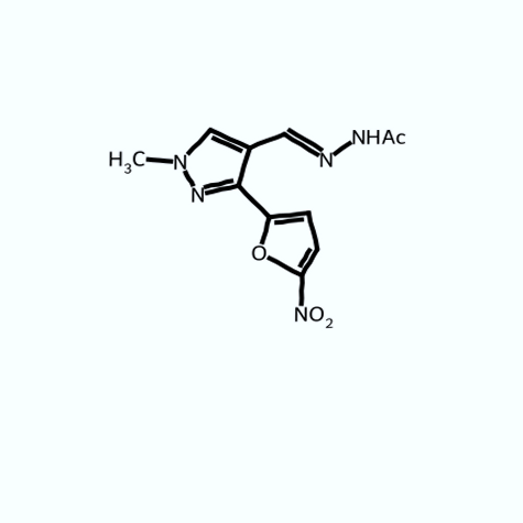 CC(=O)N/N=C/c1cn(C)nc1-c1ccc([N+](=O)[O-])o1